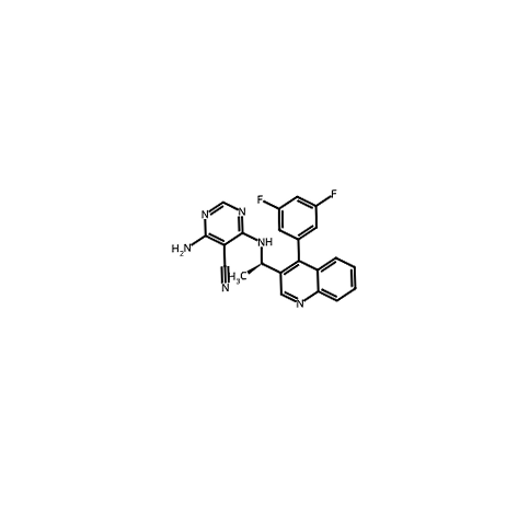 C[C@@H](Nc1ncnc(N)c1C#N)c1cnc2ccccc2c1-c1cc(F)cc(F)c1